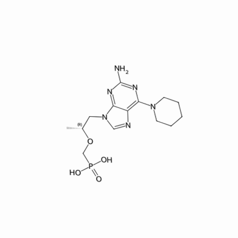 C[C@H](Cn1cnc2c(N3CCCCC3)nc(N)nc21)OCP(=O)(O)O